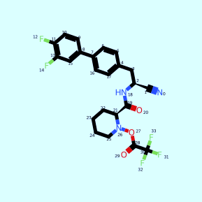 N#C[C@H](Cc1ccc(-c2ccc(F)c(F)c2)cc1)NC(=O)[C@@H]1CCCCN1OC(=O)C(F)(F)F